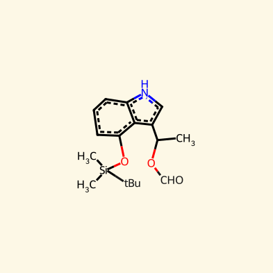 CC(OC=O)c1c[nH]c2cccc(O[Si](C)(C)C(C)(C)C)c12